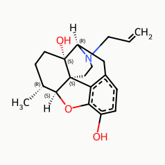 C=CCN1CC[C@]23c4c5ccc(O)c4O[C@H]2[C@H](C)CC[C@@]3(O)[C@H]1C5